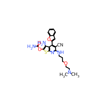 CN(C)CCOCCCNc1nc2sc(OC(N)=O)c(N)c2c(-c2cc3ccccc3o2)c1C#N